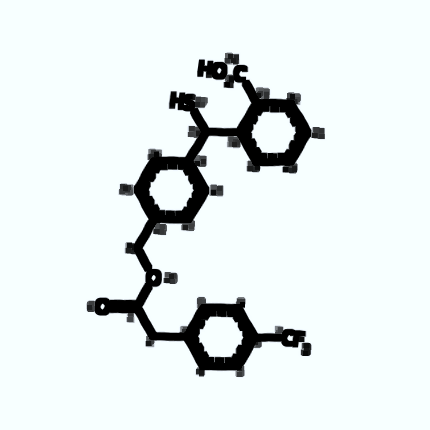 O=C(Cc1ccc(C(F)(F)F)cc1)OCc1ccc(C(S)c2ccccc2C(=O)O)cc1